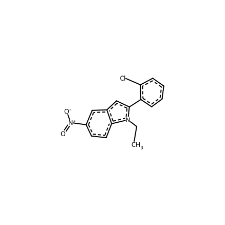 CCn1c(-c2ccccc2Cl)cc2cc([N+](=O)[O-])ccc21